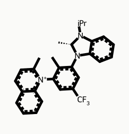 Cc1c(N2c3ccccc3N(C(C)C)[C@H]2C)cc(C(F)(F)F)cc1-[n+]1c(C)ccc2ccccc21